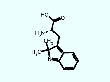 CC1(C)N=c2ccccc2=C1C[C@H](N)C(=O)O